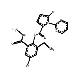 NCc1cc(Cl)cc(C(=O)NN)c1NC(=O)c1ccc(Br)n1-c1ncccn1